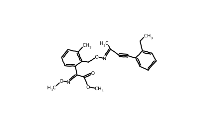 CCc1ccccc1C#C/C(C)=N/OCc1c(C)cccc1/C(=N\OC)C(=O)OC